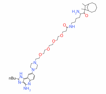 CCCCc1nc2c(N)nc3ccc(N4CCN(CCOCCOCCOCCOCCC(=O)NCCCCC(N)C(=O)C5(C)C6CCCCCC(C6)C5C)CC4)cc3c2[nH]1